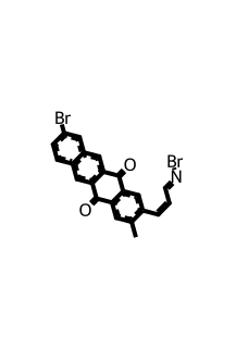 Cc1cc2c(cc1/C=C\C=N\Br)C(=O)c1cc3cc(Br)ccc3cc1C2=O